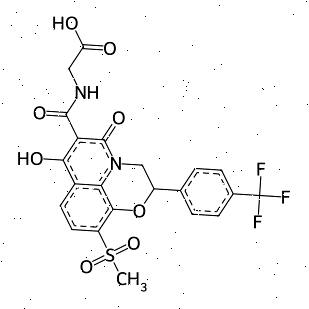 CS(=O)(=O)c1ccc2c(O)c(C(=O)NCC(=O)O)c(=O)n3c2c1OC(c1ccc(C(F)(F)F)cc1)C3